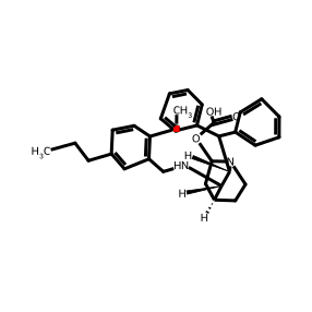 CCCc1ccc(OC)c(CN[C@H]2[C@H]3CCN(C(OC(=O)O)C3)[C@H]2C(c2ccccc2)c2ccccc2)c1